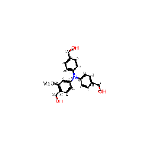 COc1cc(N(c2ccc(CO)cc2)c2ccc(CO)cc2)ccc1CO